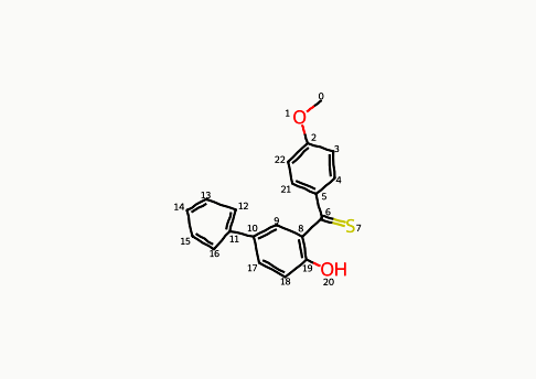 COc1ccc(C(=S)c2cc(-c3ccccc3)ccc2O)cc1